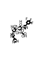 O=C(O)CO[C@H]1C[SH]([C@@H]2COC[C@H](n3cc(-c4cncnc4)nn3)[C@H]2O)[C@H](CO)[C@H](O)[C@@H]1n1cc(-c2cc(F)c(F)c(F)c2)nn1